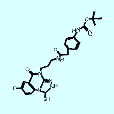 CC(C)(C)OC(=O)Nc1ccc(CC(=O)NCCCN2C(=O)c3cc(F)ccc3N3C2=NNC3S)cc1